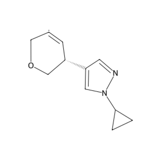 [C]1=C[C@H](c2cnn(C3CC3)c2)COC1